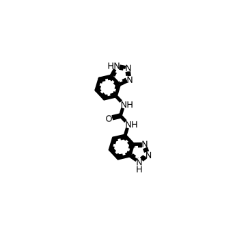 O=C(Nc1cccc2[nH]nnc12)Nc1cccc2[nH]nnc12